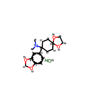 CN(C)C1(c2ccc3c(c2)OCO3)CCC2(CC1)OCCO2.Cl